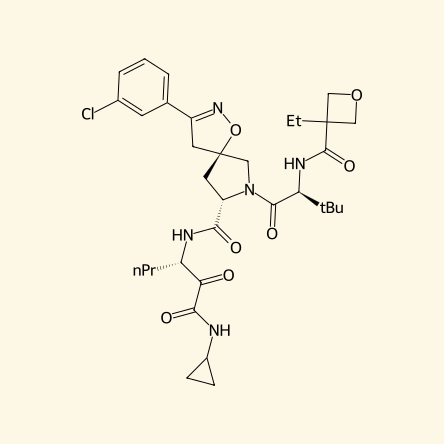 CCC[C@H](NC(=O)[C@@H]1C[C@]2(CC(c3cccc(Cl)c3)=NO2)CN1C(=O)[C@@H](NC(=O)C1(CC)COC1)C(C)(C)C)C(=O)C(=O)NC1CC1